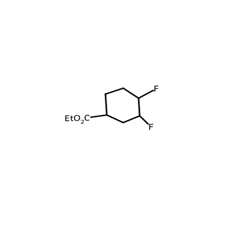 CCOC(=O)C1CCC(F)C(F)C1